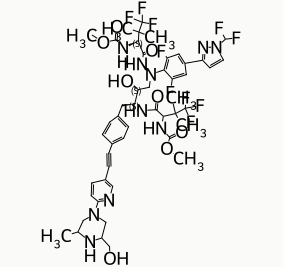 COC(=O)NC(C(=O)N[C@@H](Cc1ccc(C#Cc2ccc(N3CC(C)NC(CO)C3)nc2)cc1)[C@@H](O)CN(NC(=O)[C@@H](NC(=O)OC)C(C)(C)C(F)(F)F)c1c(F)cc(-c2ccn(C(F)F)n2)cc1F)C(C)(C)C(F)(F)F